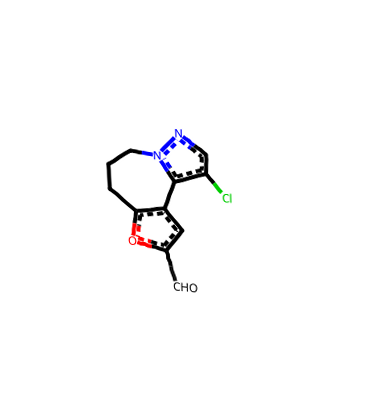 O=Cc1cc2c(o1)CCCn1ncc(Cl)c1-2